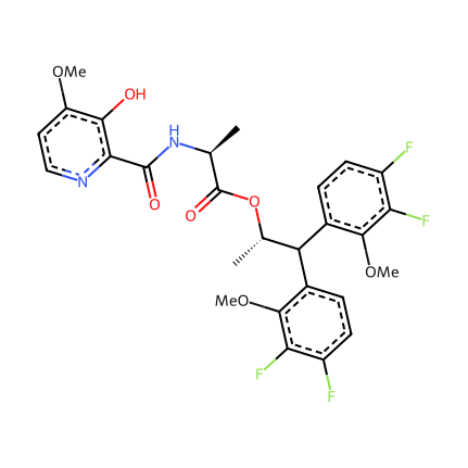 COc1ccnc(C(=O)N[C@@H](C)C(=O)O[C@@H](C)C(c2ccc(F)c(F)c2OC)c2ccc(F)c(F)c2OC)c1O